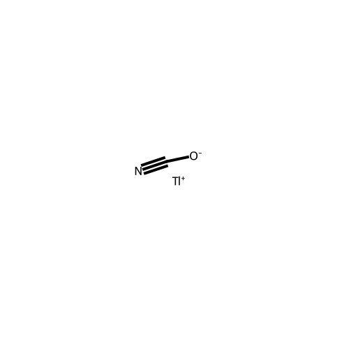 N#C[O-].[Tl+]